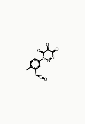 Cc1ccc(N2N=NC(=O)C(=O)C2=O)cc1N=C=O